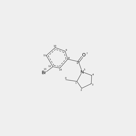 CC1CCCN1C(=O)c1cccc(Br)c1